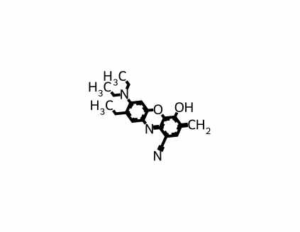 C=c1cc(C#N)c2c(c1O)Oc1cc(N(CC)CC)c(CC)cc1N=2